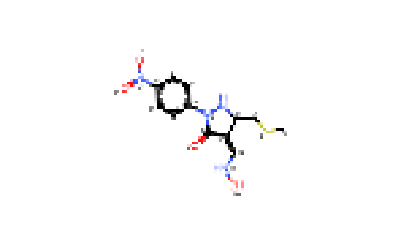 CSCC1NN(c2ccc([N+](=O)[O-])cc2)C(=O)C1=CNO